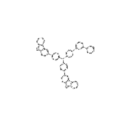 c1ccc(-c2cccc(-c3ccc(C(c4ccc(-c5ccc6oc7ccccc7c6c5)cc4)c4ccc(-c5ccc6oc7ccccc7c6c5)cc4)cc3)c2)cc1